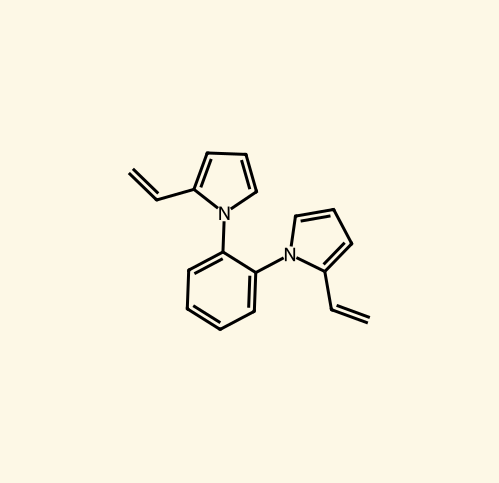 C=Cc1cccn1-c1ccccc1-n1cccc1C=C